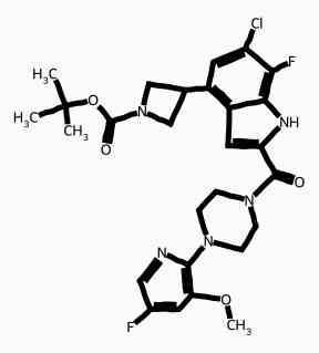 COc1cc(F)cnc1N1CCN(C(=O)c2cc3c(C4CN(C(=O)OC(C)(C)C)C4)cc(Cl)c(F)c3[nH]2)CC1